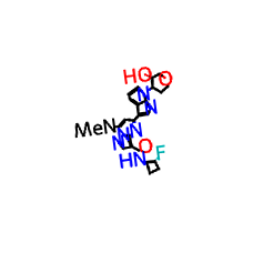 CNc1cc(-c2cnc3n(C4CCOC[C@@H]4O)cccc2-3)nc2c(C(=O)NC3CC[C@H]3F)cnn12